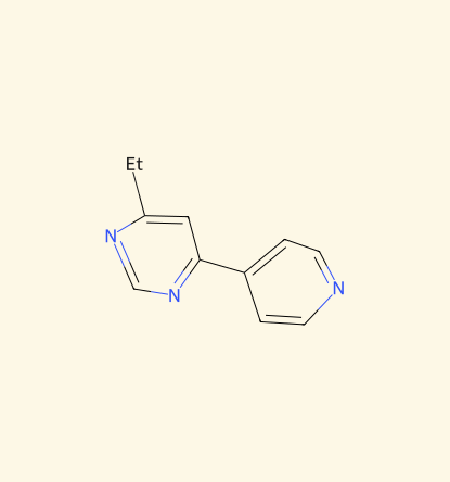 CCc1cc(-c2ccncc2)ncn1